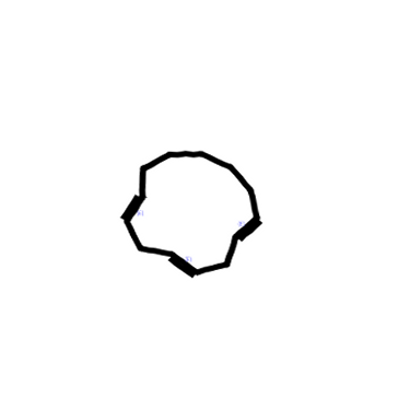 [C]1=C/C/C=C/C/C=C/CCCCC/1